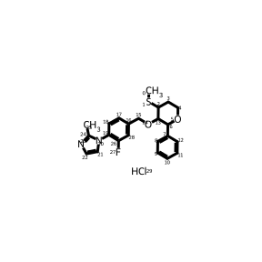 CSC1CCOC(c2ccccc2)C1OCc1ccc(-n2ccnc2C)c(F)c1.Cl